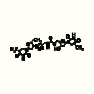 CC[C@H]1O[C@@H](n2cc(C)c(=O)[nH]c2=O)CC1n1cc(CNC(=O)OC[C@H]2O[C@@H](n3cc(C)c(=O)[nH]c3=O)CC2O)nn1